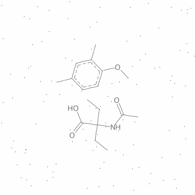 CCC(CC)(NC(C)=O)C(=O)O.COc1ccc(C)cc1C